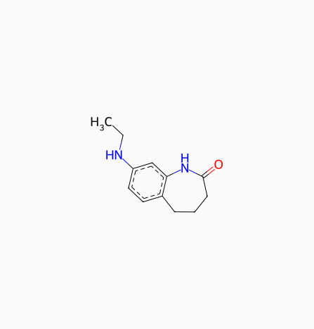 CCNc1ccc2c(c1)NC(=O)CCC2